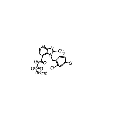 CCCCCS(=O)(=O)NC(=O)c1ccnc2nc(C)n(Cc3ccc(Cl)cc3Cl)c12